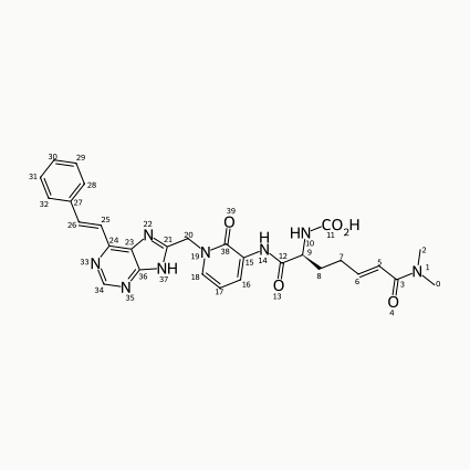 CN(C)C(=O)/C=C/CC[C@H](NC(=O)O)C(=O)Nc1cccn(Cc2nc3c(/C=C/c4ccccc4)ncnc3[nH]2)c1=O